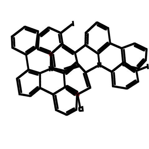 Clc1cc(N(c2cccc(I)c2)c2c(-c3ccccc3)cccc2-c2ccccc2)cc(N(c2cccc(I)c2)c2c(-c3ccccc3)cccc2-c2ccccc2)c1